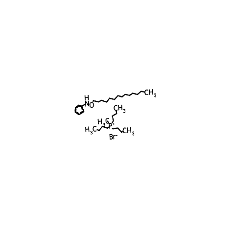 CCCCCCCCCCCCCCONc1ccccc1.CCCC[P+](C)(CCCC)CCCC.[Br-]